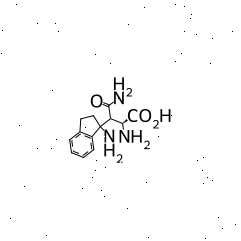 NC(=O)C([C@H](N)C(=O)O)C1(N)CCc2ccccc21